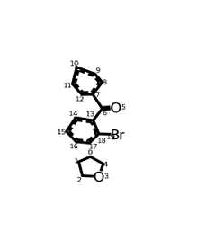 C1CCOC1.O=C(c1ccccc1)c1ccccc1Br